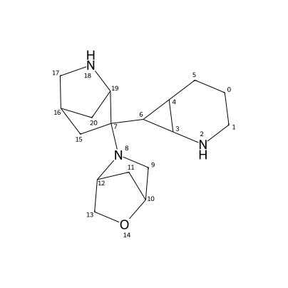 C1CNC2C(C1)C2C1(N2CC3CC2CO3)CC2CNC1C2